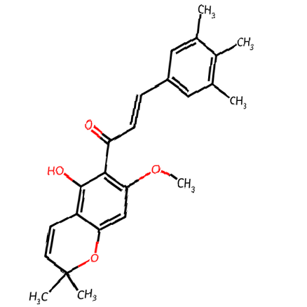 COc1cc2c(c(O)c1C(=O)/C=C/c1cc(C)c(C)c(C)c1)C=CC(C)(C)O2